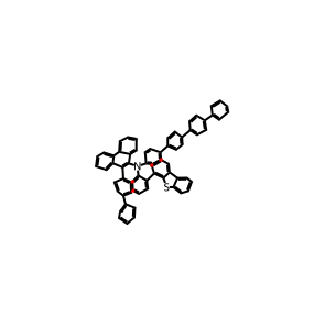 c1ccc(-c2ccc(-c3ccc(-c4ccc(N(c5ccccc5-c5cccc6c5sc5ccccc56)c5c(-c6ccc(-c7ccccc7)cc6)c6ccccc6c6ccccc56)cc4)cc3)cc2)cc1